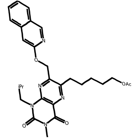 CC(=O)OCCCCCc1nc2c(=O)n(C)c(=O)n(CC(C)C)c2nc1COc1cc2ccccc2cn1